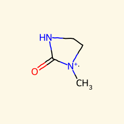 C[N+]1CCNC1=O